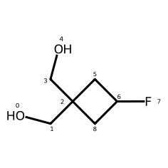 OCC1(CO)CC(F)C1